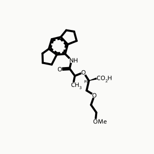 COCCOC[C@@H](OC(C)C(=O)Nc1c2c(cc3c1CCC3)CCC2)C(=O)O